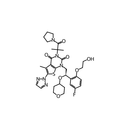 Cc1c(-n2nccn2)sc2c1c(=O)n(C(C)(C)C(=O)N1CCCC1)c(=O)n2C[C@H](OC1CCOCC1)c1cc(F)ccc1OCCO